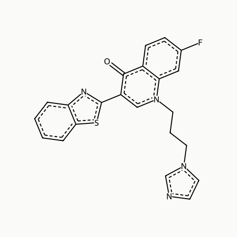 O=c1c(-c2nc3ccccc3s2)cn(CCCn2ccnc2)c2cc(F)ccc12